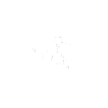 CC1(C)N=C(N2CCCC2=O)c2cc(C#N)ccc2O1